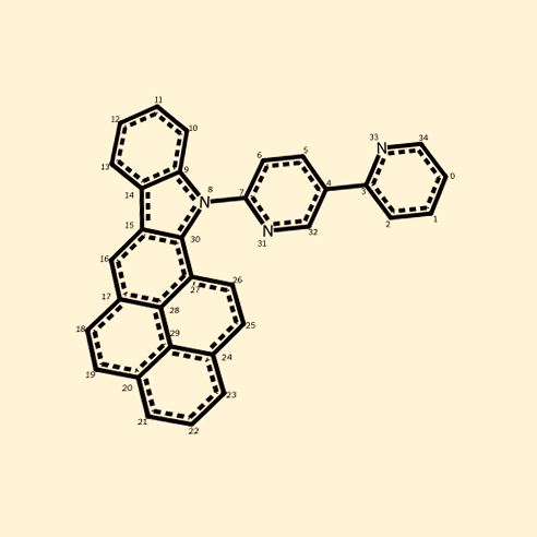 c1ccc(-c2ccc(-n3c4ccccc4c4cc5ccc6cccc7ccc(c5c67)c43)nc2)nc1